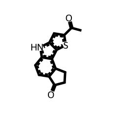 CC(=O)c1cc2[nH]c3ccc4c(c3c2s1)CCC4=O